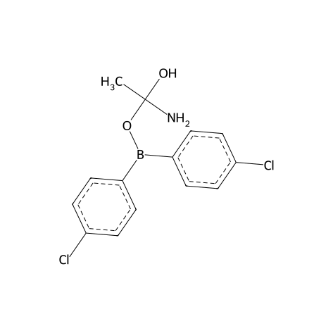 CC(N)(O)OB(c1ccc(Cl)cc1)c1ccc(Cl)cc1